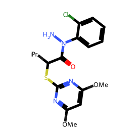 COc1cc(OC)nc(SC(C(=O)N(N)c2ccccc2Cl)C(C)C)n1